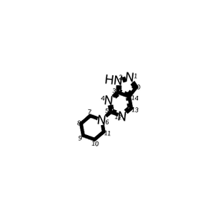 [c]1n[nH]c2nc(N3CCCCC3)ncc12